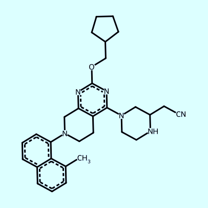 Cc1cccc2cccc(N3CCc4c(nc(OCC5CCCC5)nc4N4CCNC(CC#N)C4)C3)c12